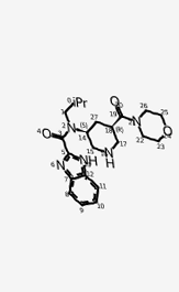 CC(C)CN(C(=O)c1nc2ccccc2[nH]1)[C@@H]1CNC[C@H](C(=O)N2CCOCC2)C1